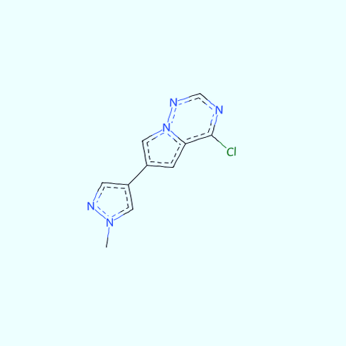 Cn1cc(-c2cc3c(Cl)ncnn3c2)cn1